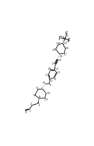 C=CCC[C@H]1CC[C@H](CCc2ccc(C#C[C@H]3CC[C@H](C(F)(F)F)CC3)cc2)CC1